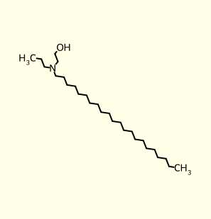 CCCCCCCCCCCCCCCCCCCCCCN(CCC)CCO